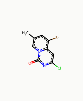 Cc1cc(Br)c2cc(Cl)nc(=O)n2c1